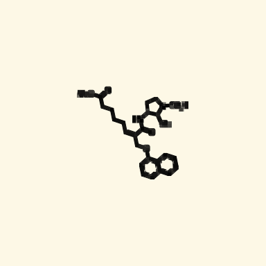 COC(=O)CCCCC=C(COc1cccc2ccccc12)C(=O)NC1CCN(C(=O)O)C1C(C)(C)C